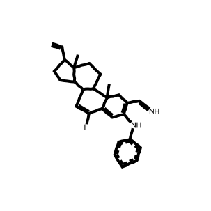 C=CC1CCC2C3C=C(F)C4=CC(Nc5ccccc5)=C(C=N)CC4(C)C3CCC12C